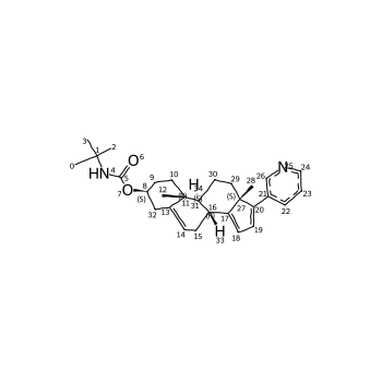 CC(C)(C)NC(=O)O[C@H]1CC[C@@]2(C)C(=CC[C@H]3C4=CC=C(c5cccnc5)[C@@]4(C)CC[C@@H]32)C1